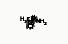 C[C@@H](CC1=CCC=CC=C1)C(=O)N1CCC[C@H]1CN